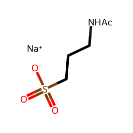 CC(=O)NCCCS(=O)(=O)[O-].[Na+]